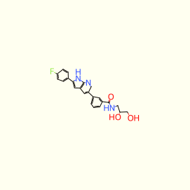 O=C(NC[C@@H](O)CO)c1cccc(-c2cnc3[nH]c(-c4ccc(F)cc4)cc3c2)c1